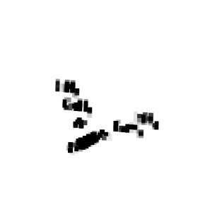 [GaH3].[GaH3].[InH3].[InH3].[O]=[Zn].[Zn]